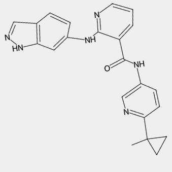 CC1(c2ccc(NC(=O)c3cccnc3Nc3ccc4cn[nH]c4c3)cn2)CC1